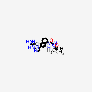 Cc1n[nH]cc1Nc1nccc(-c2ccc3c(c2)CCCC[C@@H]3NC(=O)c2noc(C(C)(C)C)n2)n1